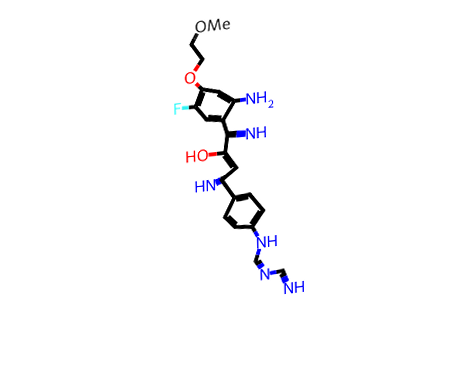 COCCOc1cc(N)c(C(=N)/C(O)=C/C(=N)c2ccc(N/C=N\C=N)cc2)cc1F